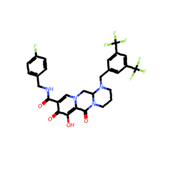 O=C(NCc1ccc(F)cc1)c1cn2c(c(O)c1=O)C(=O)N1CCCN(Cc3cc(C(F)(F)F)cc(C(F)(F)F)c3)C1C2